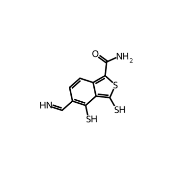 N=Cc1ccc2c(C(N)=O)sc(S)c2c1S